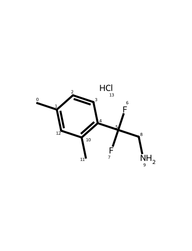 Cc1ccc(C(F)(F)CN)c(C)c1.Cl